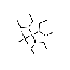 CCN(CC)[Si](N(CC)CC)(N(CC)CC)C(C)(C)C